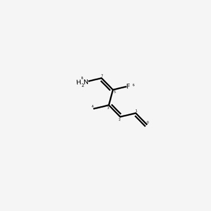 C=C/C=C(C)\C(F)=C/N